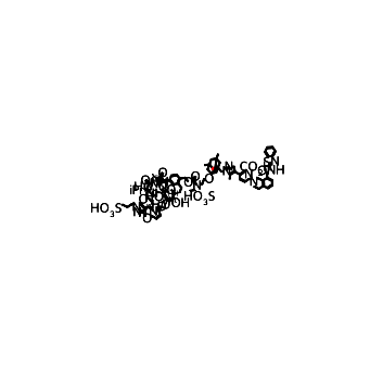 Cc1c(-c2ccc(N3CCc4cccc(C(=O)Nc5nc6ccccc6s5)c4C3)nc2C(=O)O)cnn1CC12CC3(C)CC(C)(C1)CC(OCCN(CCS(=O)(=O)O)C(=O)OCc1ccc(NC(=O)[C@H](C)NC(=O)[C@@H](NC(=O)C[C@@H](c4cn(CCCS(=O)(=O)O)nn4)N4C(=O)C=CC4=O)C(C)C)cc1CC[C@@H]1O[C@H](C(=O)O)[C@@H](O)[C@H](O)[C@H]1O)(C3)C2